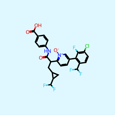 O=C(O)c1ccc(NC(=O)C(CC2CC2C(F)F)c2ccc(-c3c(C(F)F)ccc(Cl)c3F)c[n+]2[O-])cc1